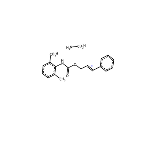 Cc1cccc(C(=O)O)c1NC(=O)OC/C=C/c1ccccc1.NC(=O)O